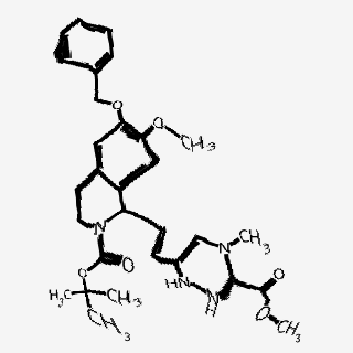 COC(=O)C1NNC(/C=C/C2c3cc(OC)c(OCc4ccccc4)cc3CCN2C(=O)OC(C)(C)C)=CN1C